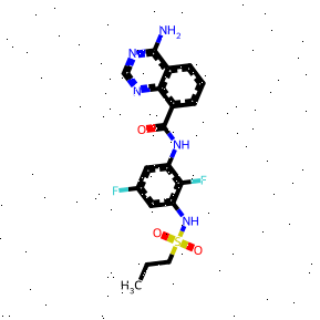 CCCS(=O)(=O)Nc1cc(F)cc(NC(=O)c2cccc3c(N)ncnc23)c1F